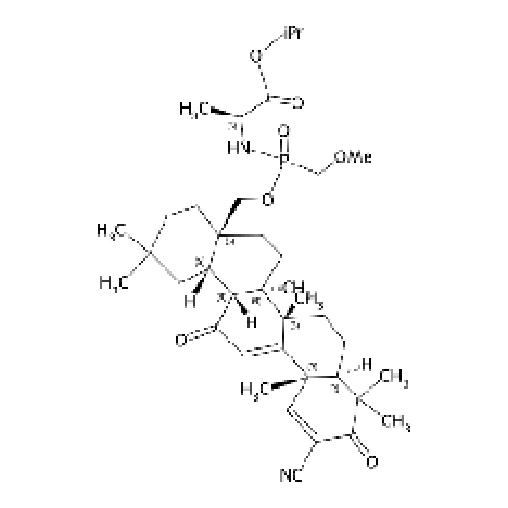 COCP(=O)(N[C@@H](C)C(=O)OC(C)C)OC[C@]12CCC(C)(C)C[C@H]1[C@H]1C(=O)C=C3[C@@]4(C)C=C(C#N)C(=O)C(C)(C)[C@@H]4CC[C@@]3(C)[C@]1(C)CC2